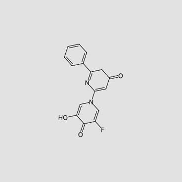 O=C1C=C(n2cc(O)c(=O)c(F)c2)N=C(c2ccccc2)C1